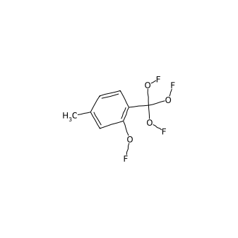 Cc1ccc(C(OF)(OF)OF)c(OF)c1